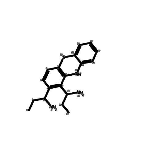 CCC(N)c1ccc2c(c1C(N)CC)Nc1ccccc1S2